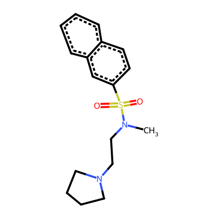 CN(CCN1CCCC1)S(=O)(=O)c1ccc2ccccc2c1